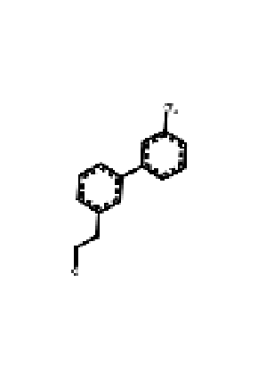 OCCc1cccc(-c2cccc(C(F)(F)F)c2)c1